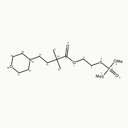 COP(=O)(SC)SCCOC(=O)C(C)(C)CCN1CCOCC1